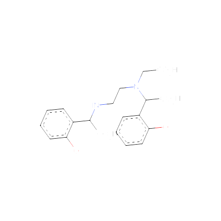 O=C(O)CN(CCNC(C(=O)O)c1ccccc1O)C(C(=O)O)c1ccccc1O